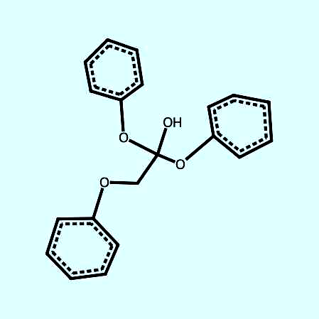 OC(COc1ccccc1)(Oc1ccccc1)Oc1ccccc1